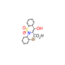 O=C(O)C1=C(O)c2ccccc2S(=O)(=O)N1c1ccccc1Br